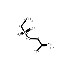 C=C(Cl)[CH]OS(=O)(=O)CC